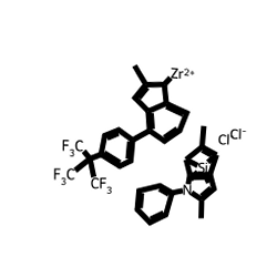 CC1=C2c3cc(C)n(-c4ccccc4)c3C1[Si]2(C)C.CC1=Cc2c(-c3ccc(C(C(F)(F)F)(C(F)(F)F)C(F)(F)F)cc3)cccc2[CH]1[Zr+2].[Cl-].[Cl-]